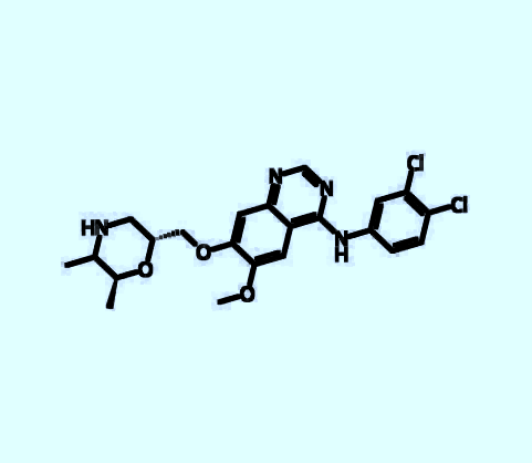 COc1cc2c(Nc3ccc(Cl)c(Cl)c3)ncnc2cc1OC[C@H]1CNC(C)[C@H](C)O1